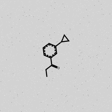 CCC(=O)c1cccc(C2CC2)c1